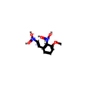 COc1cccc(/C=C/[N+](=O)[O-])c1[N+](=O)[O-]